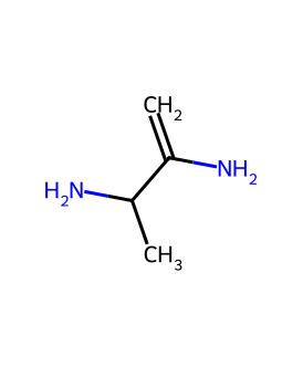 C=C(N)C(C)N